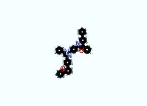 c1ccc(-c2ccc3c(c2)nc(-c2ccc(-c4nc(-c5ccccc5)cc(-c5ccc(-c6cccc7c6oc6ccccc67)cc5)n4)cc2)c2oc4ccccc4c23)cc1